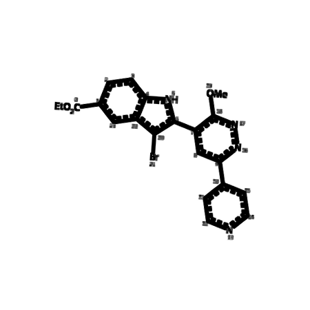 CCOC(=O)c1ccc2[nH]c(-c3cc(-c4ccncc4)nnc3OC)c(Br)c2c1